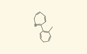 CC1=C(C2=BCC=CC=C2)C=CCC=C1